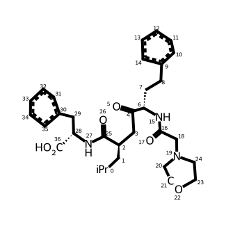 CC(C)C[C@H](CC(=O)[C@H](CCc1ccccc1)NC(=O)CN1CCOCC1)C(=O)N[C@@H](Cc1ccccc1)C(=O)O